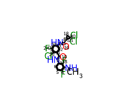 CNc1c(F)ccc(NC(=O)c2cc(NC(=O)[C@H]3CC3(Cl)Cl)cc(F)c2Cl)c1F